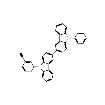 N#CC1=CC(n2c3ccccc3c3cc(-c4ccc5c(c4)c4ccccc4n5-c4ccccc4)ccc32)CC=C1